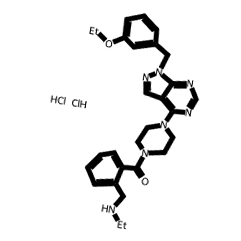 CCNCc1ccccc1C(=O)N1CCN(c2ncnc3c2cnn3Cc2cccc(OCC)c2)CC1.Cl.Cl